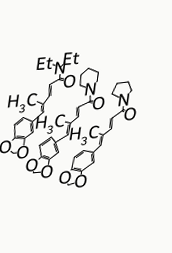 CC(/C=C/C(=O)N1CCCC1)=C\c1ccc2c(c1)OCO2.CC(/C=C/C(=O)N1CCCCC1)=C\c1ccc2c(c1)OCO2.CCN(CC)C(=O)/C=C/C(C)=C/c1ccc2c(c1)OCO2